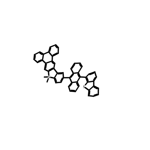 C[Si]1(C)c2ccc(-c3c4ccccc4c(-c4cccc5c4sc4ccccc45)c4ccccc34)cc2-c2cc3c4ccccc4c4ccccc4c3cc21